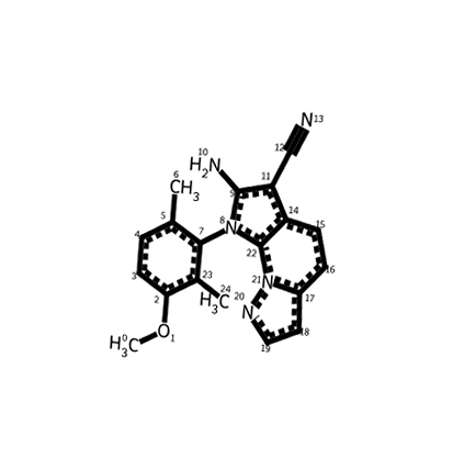 COc1ccc(C)c(-n2c(N)c(C#N)c3ccc4ccnn4c32)c1C